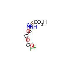 O=C(O)CSc1nnc(-c2ccc(-c3cccc(OCc4cccc(OC(F)F)c4)c3)o2)[nH]1